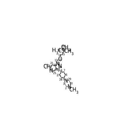 CN1CCN(c2ccc(-c3nn(COCCS(C)(C)C)c4cc(Cl)ncc34)cc2)CC1